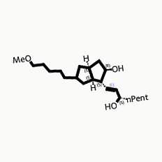 CCCCC[C@H](O)/C=C/[C@@H]1[C@H]2CC(CCCCCOC)C[C@H]2C[C@H]1O